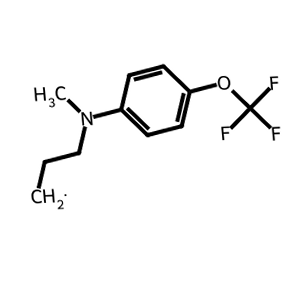 [CH2]CCN(C)c1ccc(OC(F)(F)F)cc1